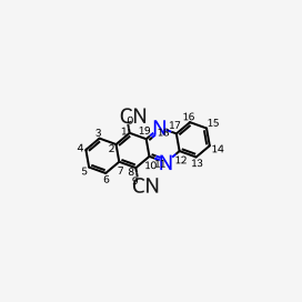 N#Cc1c2ccccc2c(C#N)c2nc3ccccc3nc12